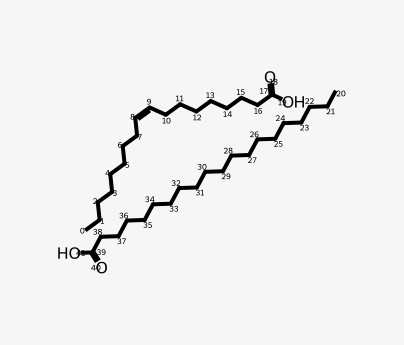 CCCCCCCC/C=C\CCCCCCCC(=O)O.CCCCCCCCCCCCCCCCCCCC(=O)O